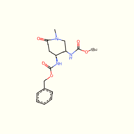 CN1CC(NC(=O)OC(C)(C)C)[C@@H](NC(=O)OCc2ccccc2)CC1=O